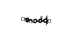 C[Si]1(Cl)CCC(CC[SiH]2CCC(c3ccc(-c4cc(F)c(Cl)c(F)c4)c(F)c3)CC2)CC1